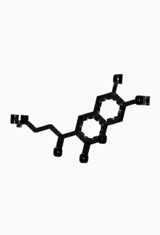 NCCC(=O)c1cc2cc(Cl)c(O)cc2oc1=O